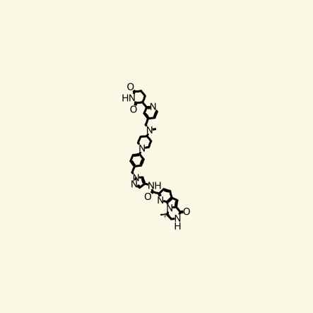 C[C@@H]1CNC(=O)c2cc3ccc(C(=O)Nc4cnn(Cc5ccc(N6CCC(N(C)Cc7ccnc(C8CCC(=O)NC8=O)c7)CC6)cc5)c4)nc3n21